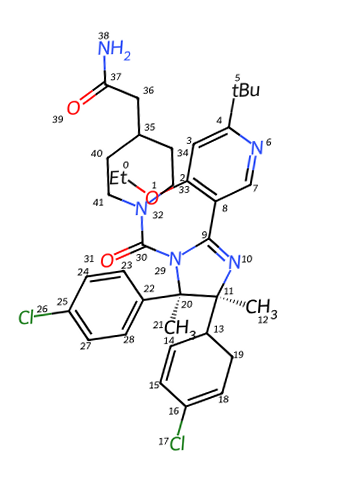 CCOc1cc(C(C)(C)C)ncc1C1=N[C@@](C)(C2C=CC(Cl)=CC2)[C@@](C)(c2ccc(Cl)cc2)N1C(=O)N1CCC(CC(N)=O)CC1